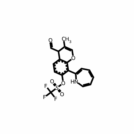 CC1=COc2c(ccc(OS(=O)(=O)C(F)(F)F)c2C2=CC=CC=CN2)C1C=O